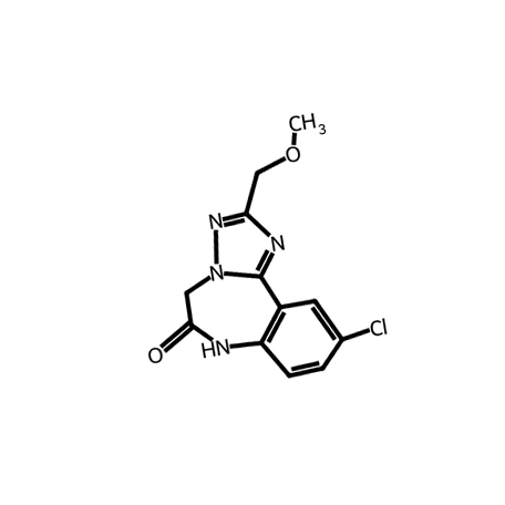 COCc1nc2n(n1)CC(=O)Nc1ccc(Cl)cc1-2